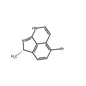 CC(C)c1ccc2c3c1C=CNC3=N[C@H]2C